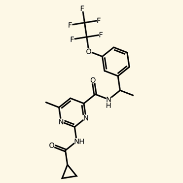 Cc1cc(C(=O)NC(C)c2cccc(OC(F)(F)C(F)(F)F)c2)nc(NC(=O)C2CC2)n1